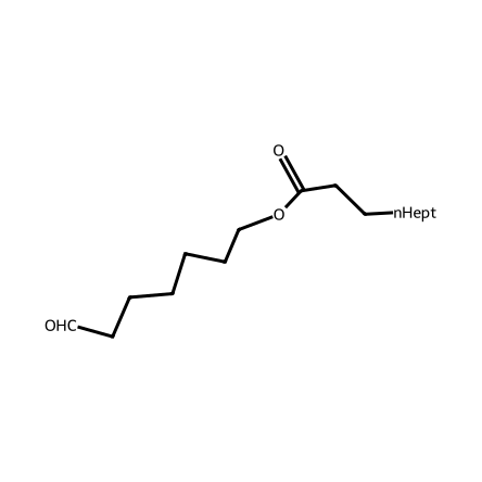 CCCCCCCCCC(=O)OCCCCCCC=O